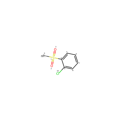 CCCS(=O)(=O)c1ccccc1Cl